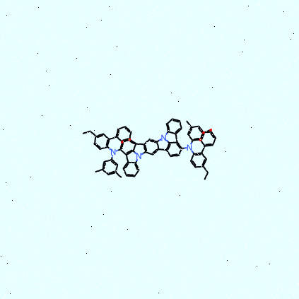 CCc1ccc(N(c2cc(C)cc(C)c2)c2ccc3c4cc5c(cc4n4c6ccccc6c2c34)c2ccc(N(c3cc(C)cc(C)c3)c3ccc(CC)cc3-c3ccccc3)c3c4ccccc4n5c23)c(-c2ccccc2)c1